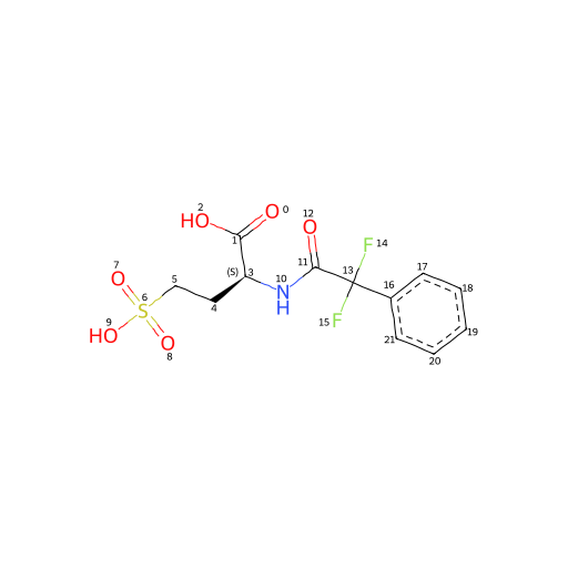 O=C(O)[C@H](CCS(=O)(=O)O)NC(=O)C(F)(F)c1ccccc1